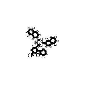 Clc1ccc(-c2nc(-c3ccc4ccccc4c3)nc([C@H]3C=Cc4ccccc4C3)n2)c2c1oc1ccccc12